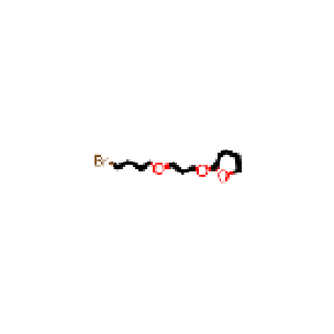 BrCCCCOCCCOC1CCCCO1